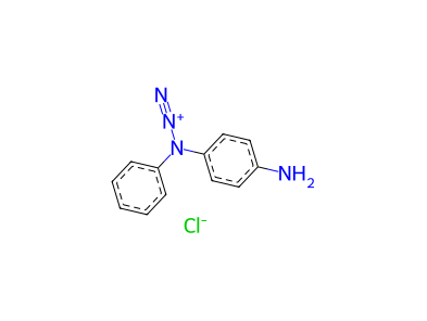 N#[N+]N(c1ccccc1)c1ccc(N)cc1.[Cl-]